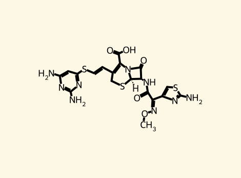 CO/N=C(\C(=O)N[C@@H]1C(=O)N2C(C(=O)O)=C(/C=C/Sc3cc(N)nc(N)n3)CS[C@H]12)c1csc(N)n1